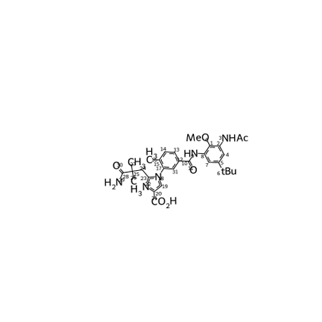 COc1c(NC(C)=O)cc(C(C)(C)C)cc1NC(=O)c1ccc(C)c(-n2cc(C(=O)O)nc2CC(C)(C)C(N)=O)c1